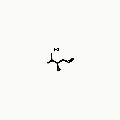 C=CCC(N)C(F)I.Cl